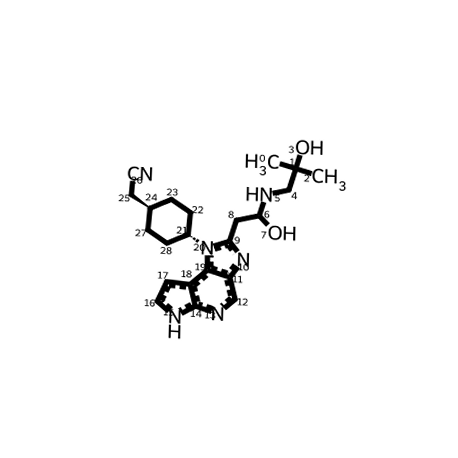 CC(C)(O)CNC(O)Cc1nc2cnc3[nH]ccc3c2n1[C@H]1CC[C@H](CC#N)CC1